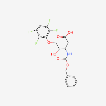 O=C(O)CC(NC(=O)OCc1ccccc1)C(O)COc1c(F)c(F)cc(F)c1F